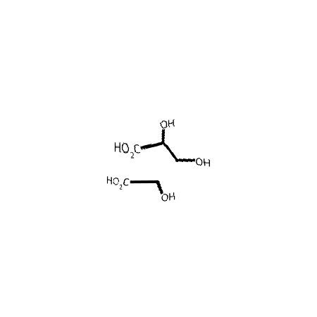 O=C(O)C(O)CO.O=C(O)CO